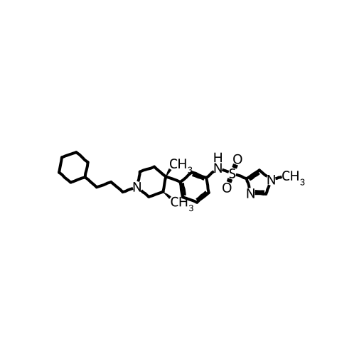 C[C@H]1CN(CCCC2CCCCC2)CC[C@]1(C)c1cccc(NS(=O)(=O)c2cn(C)cn2)c1